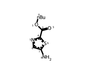 CCCCOC(=O)c1ncc(N)s1